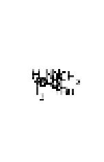 Cn1nc(N)c2c(-c3ccc(N)cc3)cc(C(C)(C)C)nc21